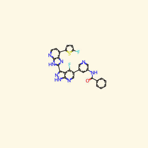 O=C(Nc1cncc(-c2cnc3[nH]nc(-c4nc5c(-c6ccc(F)s6)ccnc5[nH]4)c3c2F)c1)c1ccccc1